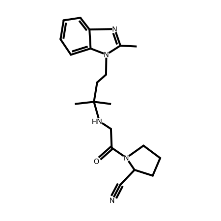 Cc1nc2ccccc2n1CCC(C)(C)NCC(=O)N1CCCC1C#N